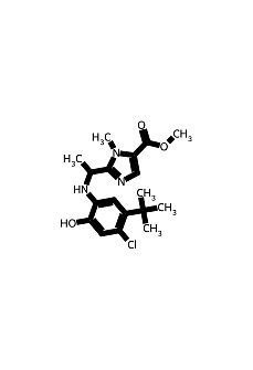 COC(=O)c1cnc(C(C)Nc2cc(C(C)(C)C)c(Cl)cc2O)n1C